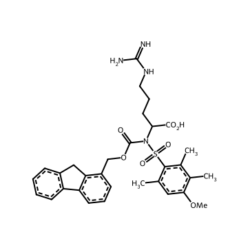 COc1cc(C)c(S(=O)(=O)N(C(=O)OCc2cccc3c2Cc2ccccc2-3)C(CCCNC(=N)N)C(=O)O)c(C)c1C